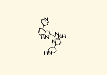 c1cc(-c2ccncc2)c2cc(-c3n[nH]c4ccc(C5CCNCC5)nc34)[nH]c2c1